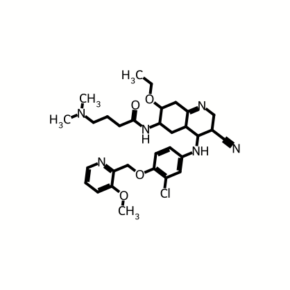 CCOC1CC2=NCC(C#N)C(Nc3ccc(OCc4ncccc4OC)c(Cl)c3)C2CC1NC(=O)CCCN(C)C